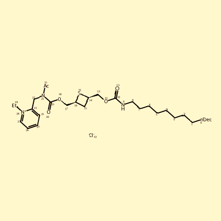 CCCCCCCCCCCCCCCCCCNC(=O)OC[C@H]1C[C@@H](COC(=O)N(Cc2cccc[n+]2CC)C(C)=O)S1.[Cl-]